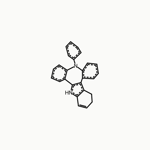 C1=Cc2[nH]c3c(c2CC1)-c1ccccc1N(c1ccccc1)c1ccccc1-3